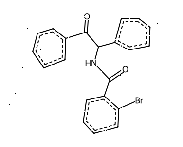 O=C(NC(C(=O)c1ccccc1)c1ccccc1)c1ccccc1Br